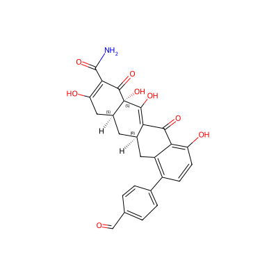 NC(=O)C1=C(O)C[C@@H]2C[C@@H]3Cc4c(-c5ccc(C=O)cc5)ccc(O)c4C(=O)C3=C(O)[C@]2(O)C1=O